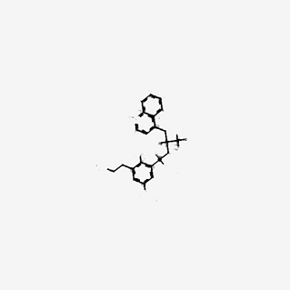 CCCc1cc(C)cc(C(C)(C)CC(O)(Cc2ccnc3ccccc23)C(F)(F)F)c1C